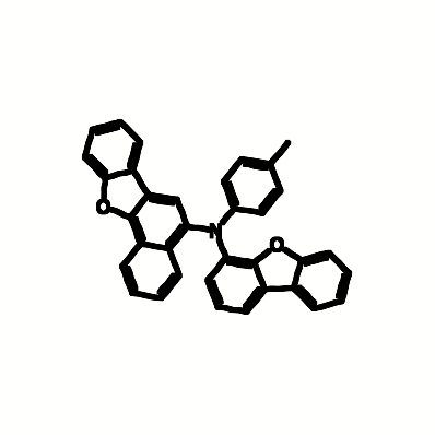 Cc1ccc(N(c2cc3c4ccccc4oc3c3ccccc23)c2cccc3c2oc2ccccc23)cc1